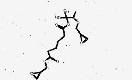 CC(OCC1CO1)C(O)(O)OC(=O)CCCCC(=O)OCC1CO1